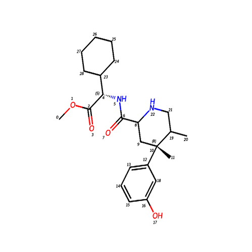 COC(=O)[C@@H](NC(=O)C1C[C@@](C)(c2cccc(O)c2)C(C)CN1)C1CCCCC1